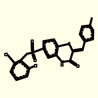 Cc1ccc(/C=C2\Sc3ccc(S(=O)(=O)Cc4c(Cl)cccc4Cl)cc3NC2=O)cc1